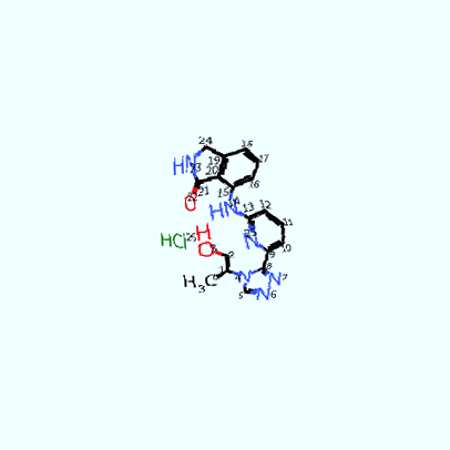 CC(CO)n1cnnc1-c1cccc(Nc2cccc3c2C(=O)NC3)n1.Cl